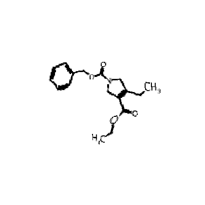 CCOC(=O)C1=C(CC)CN(C(=O)OCc2ccccc2)C1